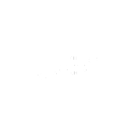 Cc1cc(OCc2ccsc2)ccc1C(C)OCC(=O)c1ccccc1